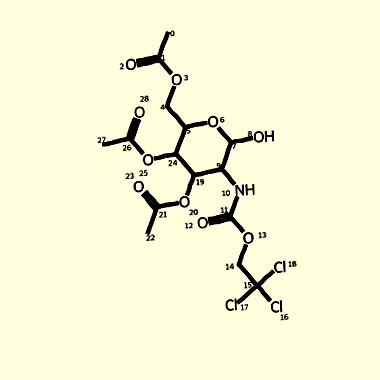 CC(=O)OCC1OC(O)C(NC(=O)OCC(Cl)(Cl)Cl)C(OC(C)=O)C1OC(C)=O